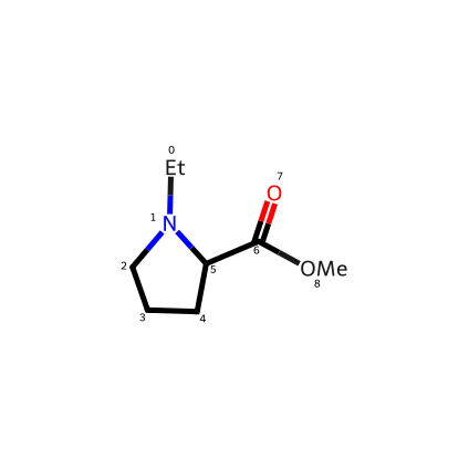 CCN1CCCC1C(=O)OC